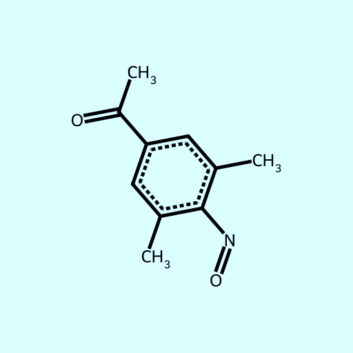 CC(=O)c1cc(C)c(N=O)c(C)c1